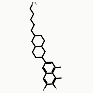 CCCCCCC1CCC2CC(c3cc(F)c4c(F)c(F)c(F)cc4c3)CCC2C1